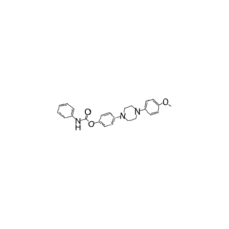 COc1ccc(N2CCN(c3ccc(OC(=O)Nc4ccccc4)cc3)CC2)cc1